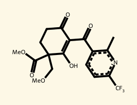 COCC1(C(=O)OC)CCC(=O)C(C(=O)c2ccc(C(F)(F)F)nc2C)=C1O